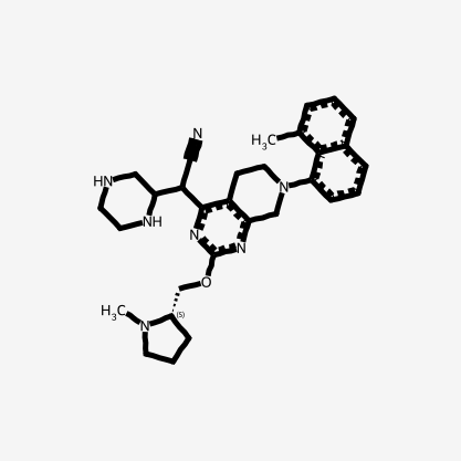 Cc1cccc2cccc(N3CCc4c(nc(OC[C@@H]5CCCN5C)nc4C(C#N)C4CNCCN4)C3)c12